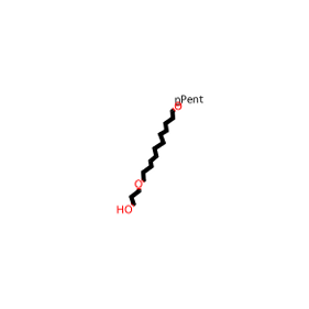 CCCCCOCCCCCCCCCCCCOCCCO